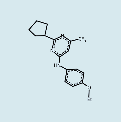 CCOc1ccc(Nc2cc(C(F)(F)F)nc(C3CCCC3)n2)cc1